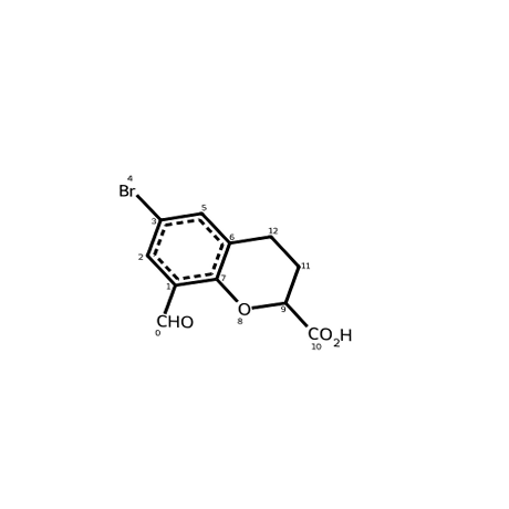 O=Cc1cc(Br)cc2c1OC(C(=O)O)CC2